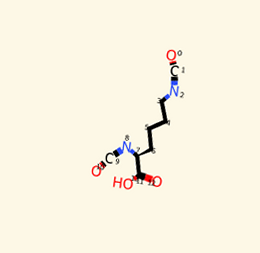 O=C=NCCCC[C@H](N=C=O)C(=O)O